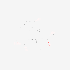 C=CC[O].Cc1c(C(=O)O)cccc1C(=O)O